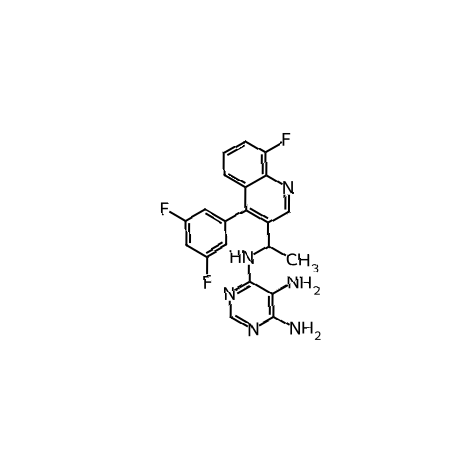 CC(Nc1ncnc(N)c1N)c1cnc2c(F)cccc2c1-c1cc(F)cc(F)c1